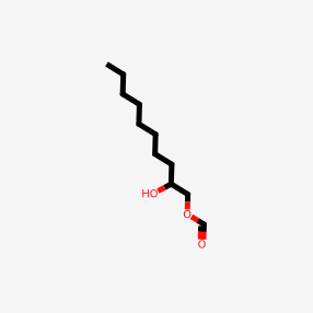 CCCCCCCCC(O)COC=O